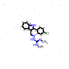 CCCNC(=NC)NN=Cc1c(-c2ccc(Cl)cc2)[nH]c2ccccc12